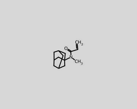 C=CC(=O)N(C)C12CC3CC(CC(C3)C1)C2